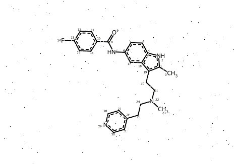 Cc1[nH]c2ccc(NC(=O)c3ccc(F)cc3)cc2c1CCN(C)CCc1ccncc1